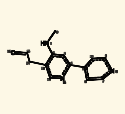 CNc1cc(-c2ccncc2)ncc1CC=O